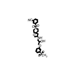 CS(=O)(=O)c1cccc(OCC(O)CNC2COC3(CCN(S(=O)(=O)c4cccc(C#N)c4)CC3)C2)c1